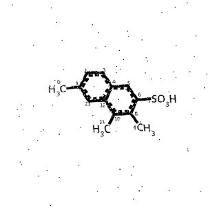 Cc1ccc2cc(S(=O)(=O)O)c(C)c(C)c2c1